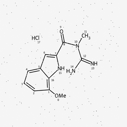 COc1cccc2cc(C(=O)N(C)C(=N)N)[nH]c12.Cl